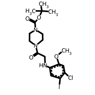 COc1cc(Cl)c(I)cc1NCC(=O)N1CCN(C(=O)OC(C)(C)C)CC1